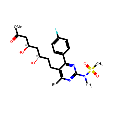 COC(=O)C[C@H](O)C[C@@H](O)CCc1c(-c2ccc(F)cc2)nc(N(C)S(C)(=O)=O)nc1C(C)C